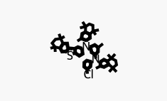 Cc1cc(N(c2cccc(Cl)c2)c2cc3c(cc2C)C(C)(C)CCC3(C)C)cc(N(c2ccc3sc4cc5c(cc4c3c2)C(C)(C)CCC5(C)C)c2cc3c(cc2C)C(C)(C)CCC3(C)C)c1